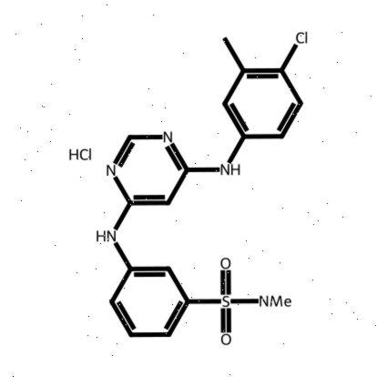 CNS(=O)(=O)c1cccc(Nc2cc(Nc3ccc(Cl)c(C)c3)ncn2)c1.Cl